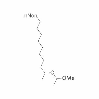 CCCCCCCCCCCCCCCCCC(C)OC(C)OC